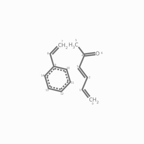 C=CC=CC(C)=O.C=Cc1ccccc1